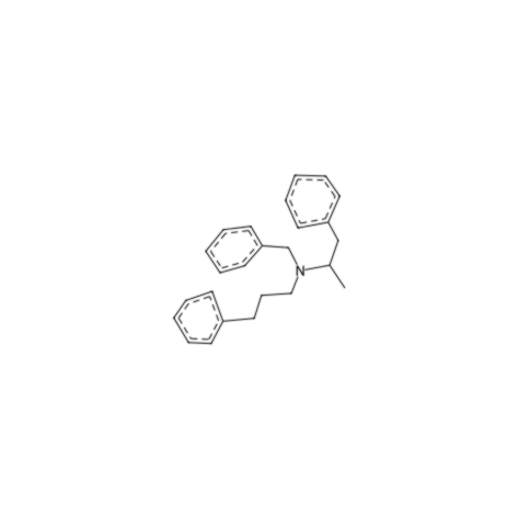 CC(Cc1ccccc1)N(CCCc1ccccc1)Cc1ccccc1